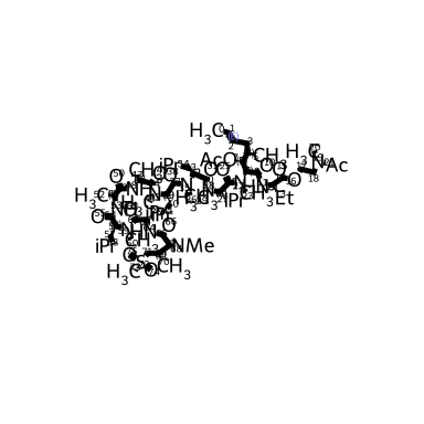 C/C=C/C[C@@H](C)[C@@H](OC(C)=O)[C@@H](C(=O)N[C@@H](CC)C(=O)OCCN(C)C(C)=O)N(C)C(=O)[C@H](C(C)C)N(C)C(=O)[C@H](CC(C)C)N(C)C(=O)[C@H](CC(C)C)N(C)C(=O)[C@@H](C)NC(=O)[C@H](C)NC(=O)[C@H](CC(C)C)N(C)C(=O)[C@@H](NC(=O)[C@@H](NC)[C@H](C)CS(C)(=O)=O)C(C)C